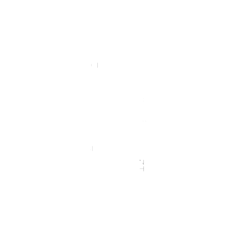 O=c1cc[nH]cc1-c1cc(O)ccc1O